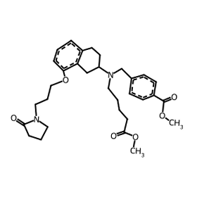 COC(=O)CCCCN(Cc1ccc(C(=O)OC)cc1)C1CCc2cccc(OCCCN3CCCC3=O)c2C1